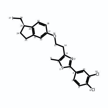 Cc1sc(-c2ccc(Cl)c(Cl)c2)nc1CCOc1ccc2c(c1)CC[C@H]2CI